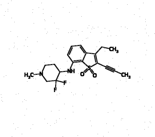 CC#CC1=C(CC)c2cccc(NC3CCN(C)CC3(F)F)c2S1(=O)=O